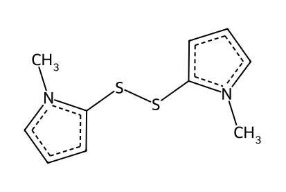 Cn1cccc1SSc1cccn1C